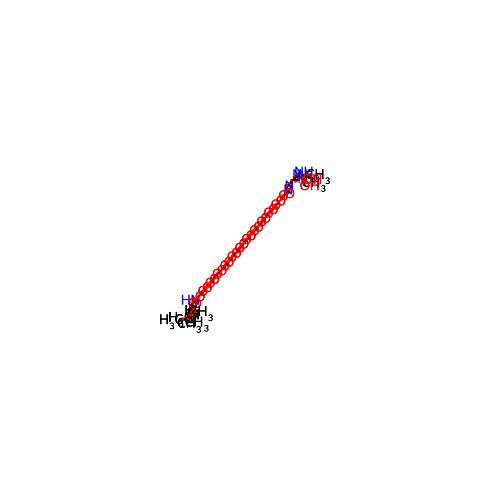 CCCCc1nc2c(N)nc3cc(CCCN4CCN(C(=O)CCOCCOCCOCCOCCOCCOCCOCCOCCOCCOCCOCCOCCOCCOCCOCCOCCOCCOCCOCCOCCOCCOCCOCCOCCNC(=O)O[C@H]5CC[C@@]6(C)C(=CC[C@H]7[C@@H]8CC[C@H]([C@H](C)CCCC(C)C)[C@@]8(C)CC[C@@H]76)C5)CC4)ccc3c2n1CC(C)(CO)CO